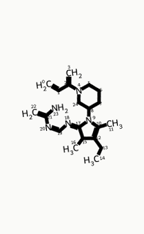 C=CC(=C)N1CCCC(N2C(C)=C(CC)C(C)/C2=N\C=N/C(=C)N)C1